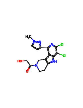 Cn1ccc(-c2nc(Cl)c(Cl)c3[nH]c4c(c23)CN(C(=O)CO)CC4)n1